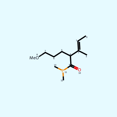 CC=C(C)C(CCCOC)C(=O)P(C)C